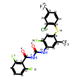 O=C(NC(=O)c1c(F)cccc1F)Nc1cc(C(F)(F)F)c(Sc2ccc(C(F)(F)F)cc2Cl)cc1F